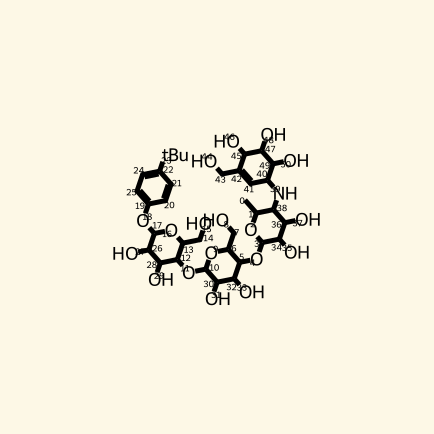 CC1OC(OC2C(CO)OC(OC3C(CO)OC(Oc4ccc(C(C)(C)C)cc4)C(O)C3O)C(O)C2O)C(O)C(O)C1NC1C=C(CO)C(O)C(O)C1O